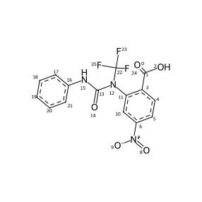 O=C(O)c1ccc([N+](=O)[O-])cc1N(C(=O)Nc1ccccc1)C(F)(F)F